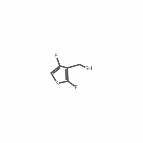 Fc1csc(F)c1CS